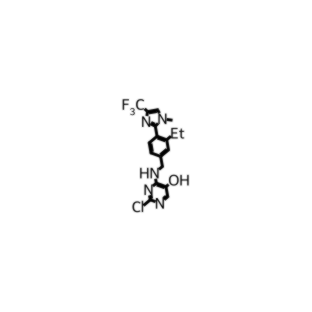 CCc1cc(CNc2nc(Cl)ncc2O)ccc1-c1nc(C(F)(F)F)cn1C